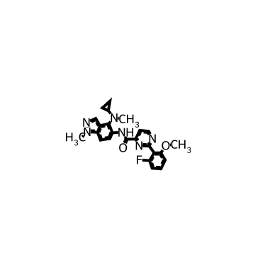 COc1cccc(F)c1-c1nccc(C(=O)Nc2ccc3c(cnn3C)c2N(C)C2CC2)n1